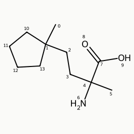 CC1(CCC(C)(N)C(=O)O)CCCC1